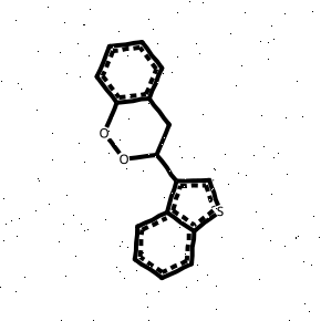 [c]1sc2ccccc2c1C1Cc2ccccc2OO1